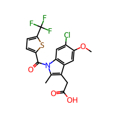 COc1cc2c(CC(=O)O)c(C)n(C(=O)c3ccc(C(F)(F)F)s3)c2cc1Cl